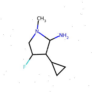 CN1CC(F)C(C2CC2)C1N